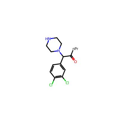 CCCC(=O)C(c1ccc(Cl)c(Cl)c1)N1CCNCC1